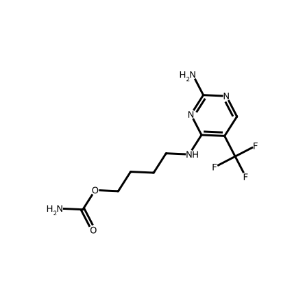 NC(=O)OCCCCNc1nc(N)ncc1C(F)(F)F